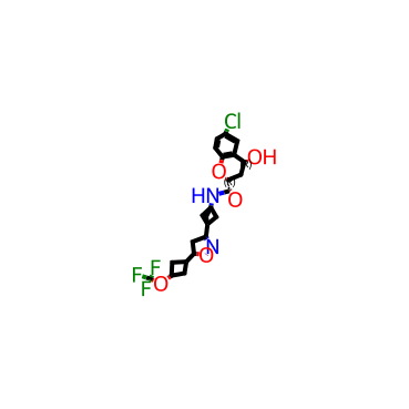 O=C(NC12CC(C3=NOC(C4CC(OC(F)(F)F)C4)C3)(C1)C2)[C@H]1C[C@@H](O)c2cc(Cl)ccc2O1